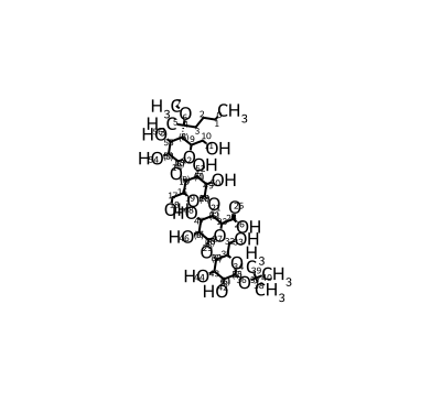 CCCCC(C)(OC)[C@@H]1C(CO)O[C@H](O[C@H]2C(CO)O[C@H](O[C@@H]3C(C(=O)O)O[C@@H](O[C@@H]4C(CO)O[C@@H](OC(C)(C)C)[C@@H](O)C4O)[C@@H](O)C3O)C(O)[C@H]2O)[C@@H](O)C1O